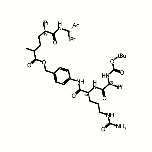 CC(=O)[C@@H](NC(=O)[C@@H](CCC(C)C(=O)OCc1ccc(NC(=O)[C@H](CCCNC(N)=O)NC(=O)[C@@H](NC(=O)OC(C)(C)C)C(C)C)cc1)C(C)C)C(C)C